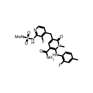 CNS(=O)(=O)Nc1nccc(Cc2cc(C(N)=O)c(Nc3ccc(C)cc3F)n(C)c2=O)c1F